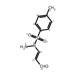 Cc1ccc(S(=O)(=O)N(N)C=CC=O)cc1